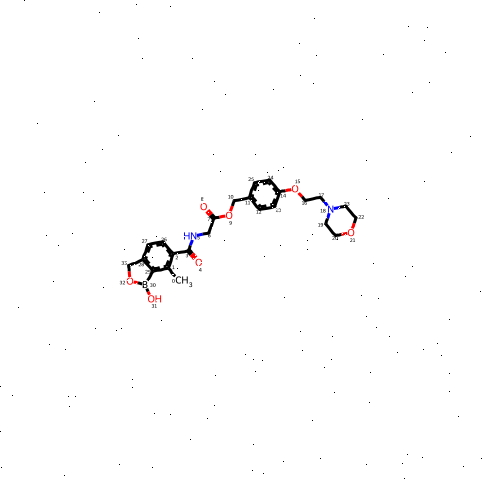 Cc1c(C(=O)NCC(=O)OCc2ccc(OCCN3CCOCC3)cc2)ccc2c1B(O)OC2